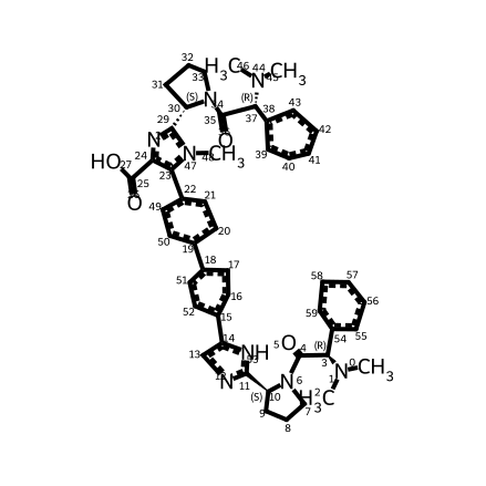 CN(C)[C@@H](C(=O)N1CCC[C@H]1c1ncc(-c2ccc(-c3ccc(-c4c(C(=O)O)nc([C@@H]5CCCN5C(=O)[C@@H](c5ccccc5)N(C)C)n4C)cc3)cc2)[nH]1)c1ccccc1